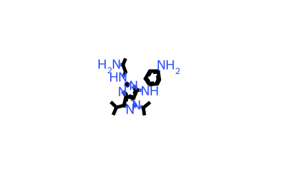 CC(N)CNc1nc(Nc2ccc(N)cc2)c2c(n1)c(C(C)C)nn2C(C)C